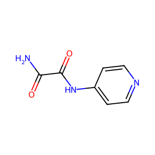 NC(=O)C(=O)Nc1ccncc1